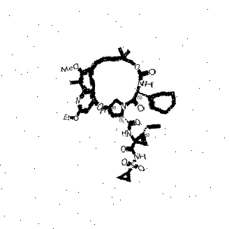 C=C[C@@H]1CC1(NC(=O)[C@@H]1C[C@@H]2CN1C(=O)[C@H](C1CCCCC1)NC(=O)OCC(C)(C)CCCc1cc3c(cc(OCC)nc3c(I)c1OC)O2)C(=O)NS(=O)(=O)C1CC1